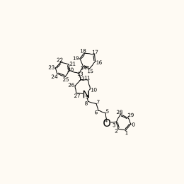 c1ccc(OCCCCN2CCC(C(c3ccccc3)c3ccccc3)CC2)cc1